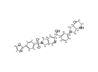 O=S(=O)(c1ccc(-c2ncco2)cc1)N1Cc2cnc(C(O)c3cccc(N4CC5NCCOC5C4)c3)cc2C1